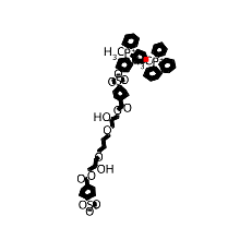 C[P+](c1ccccc1)(c1ccccc1)c1ccccc1.C[P+](c1ccccc1)(c1ccccc1)c1ccccc1.O=C(OCC(O)COCCCCOCC(O)COC(=O)c1ccc(S(=O)(=O)[O-])cc1)c1ccc(S(=O)(=O)[O-])cc1